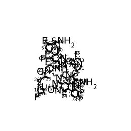 C=CC(=O)N1CC[C@@H](N(C)c2nc(OC[C@@H]3C[C@@H](F)CN3C3CC3C(=C)C(=O)N3CCC(Nc4nc(OCC56CCCN5CC(F)C6)nc5c(F)c(-c6ccc(F)c7sc(N)nc67)c(C(F)(F)F)cc45)C3)nc3c(F)c(-c4ccc(F)c5sc(N)nc45)c(C(F)(F)F)cc23)C1